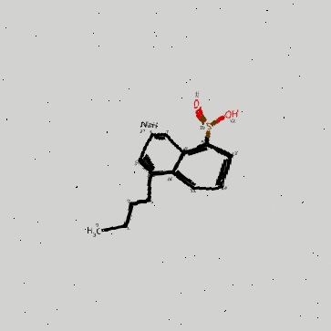 CCCCc1cccc2c(S(=O)O)cccc12.[NaH]